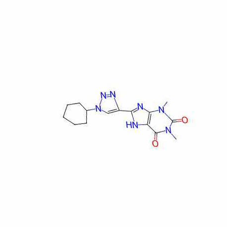 Cn1c(=O)c2[nH]c(-c3cn(C4CCCCC4)nn3)nc2n(C)c1=O